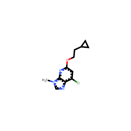 Cn1cnc2c(Cl)cc(OCCC3CC3)nc21